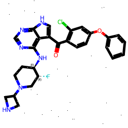 O=C(c1ccc(Oc2ccccc2)cc1Cl)c1c[nH]c2ncnc(N[C@@H]3CCN(C4CNC4)C[C@H]3F)c12